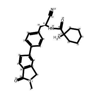 CN1Cc2cc(-c3ccc(C[C@@H](C#N)NC(=O)C4(N)CCCCC4)cc3)ccc2C1=O